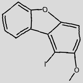 COc1ccc2oc3ccccc3c2c1I